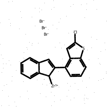 Clc1cc2c(C3=Cc4ccccc4[CH]3[Zr+3])cccc2s1.[Br-].[Br-].[Br-]